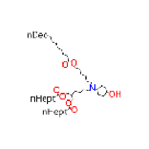 CCCCCCCCCCCCCCCCCC(=O)OCCCCCCN(CCCCC(COC(=O)CCCCCCC)COC(=O)CCCCCCC)C1CCC(O)CC1